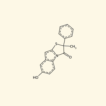 CC1(c2ccccc2)Sc2cc3cc(O)ccc3n2C1=O